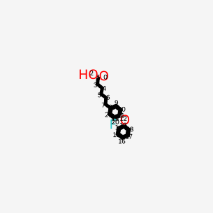 O=C(O)CCCCCc1ccc(Oc2ccccc2)c(F)c1